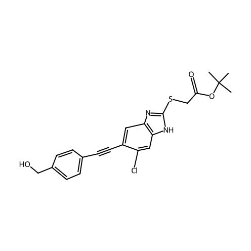 CC(C)(C)OC(=O)CSc1nc2cc(C#Cc3ccc(CO)cc3)c(Cl)cc2[nH]1